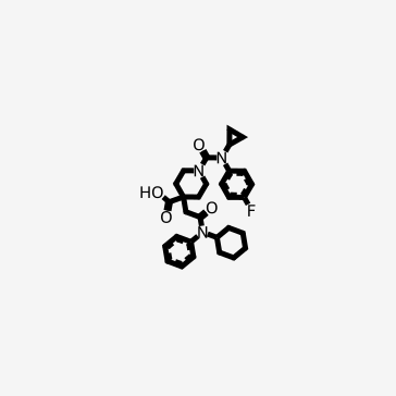 O=C(CC1(C(=O)O)CCN(C(=O)N(c2ccc(F)cc2)C2CC2)CC1)N(c1ccccc1)C1CCCCC1